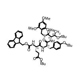 COc1cc(OC)c(CSC(=O)[C@@H](NC(=O)[C@H](Cc2ccc(OC(C)(C)C)cc2)NC(=O)[C@H](CCC(=O)OC(C)(C)C)NC(=O)OCC2c3ccccc3-c3ccccc32)[C@@H](C)OC(C)(C)C)c(OC)c1